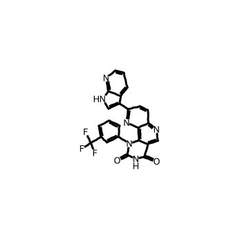 O=c1[nH]c(=O)n(-c2cccc(C(F)(F)F)c2)c2c1cnc1ccc(-c3c[nH]c4ncccc34)nc12